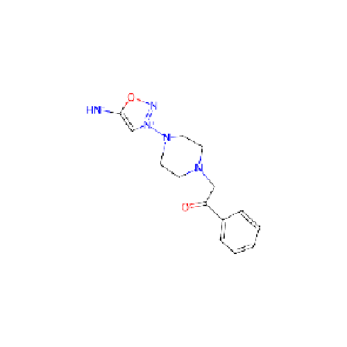 [NH-]c1c[n+](N2CCN(CC(=O)c3ccccc3)CC2)no1